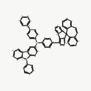 C1=Cc2ccccc2C2(c3ccccc31)c1ccccc1-c1c(-c3ccc(N(c4ccc(-c5ccccc5)cc4)c4ccc5c(c4)c4ccccc4n5-c4ccccc4)cc3)cccc12